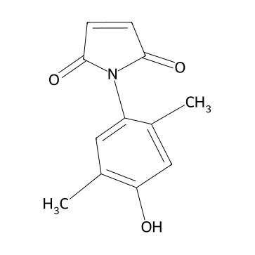 Cc1cc(N2C(=O)C=CC2=O)c(C)cc1O